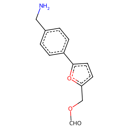 NCc1ccc(-c2ccc(COC=O)o2)cc1